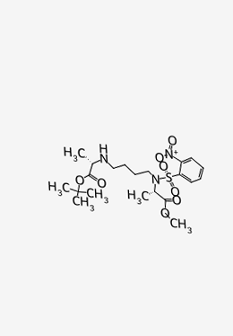 COC(=O)[C@H](C)N(CCCCN[C@@H](C)C(=O)OC(C)(C)C)S(=O)(=O)c1ccccc1[N+](=O)[O-]